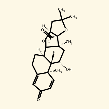 CC1(C)C[C@@H]2CC3[C@@H]4CCC5=CC(=O)C=C[C@]5(C)[C@@]4(F)[C@@H](O)C[C@]3(C)[C@]2(C(=O)C=O)O1